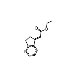 CCOC(=O)C=C1CCc2ncccc21